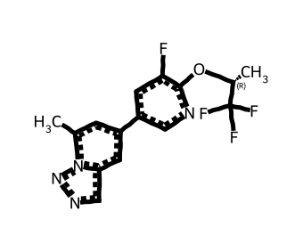 Cc1cc(-c2cnc(O[C@H](C)C(F)(F)F)c(F)c2)cc2cnnn12